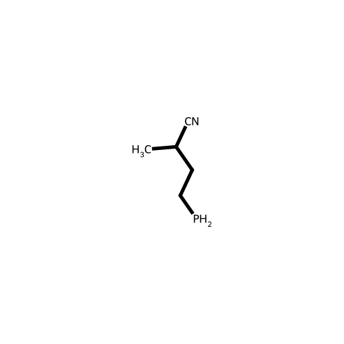 CC(C#N)CCP